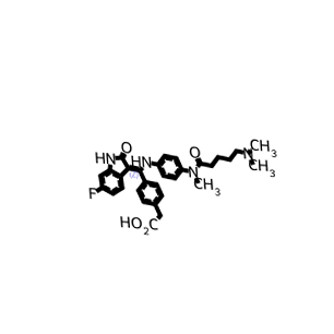 CN(C)CCCCC(=O)N(C)c1ccc(N/C(=C2\C(=O)Nc3cc(F)ccc32)c2ccc(CC(=O)O)cc2)cc1